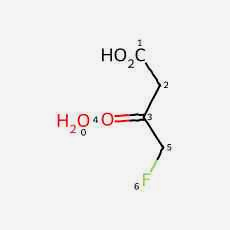 O.O=C(O)CC(=O)CF